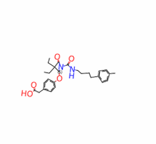 CCC1(CC)C(=O)N(C(=O)NCCCCc2ccc(C)cc2)[C@H]1Oc1ccc(CC(=O)O)cc1